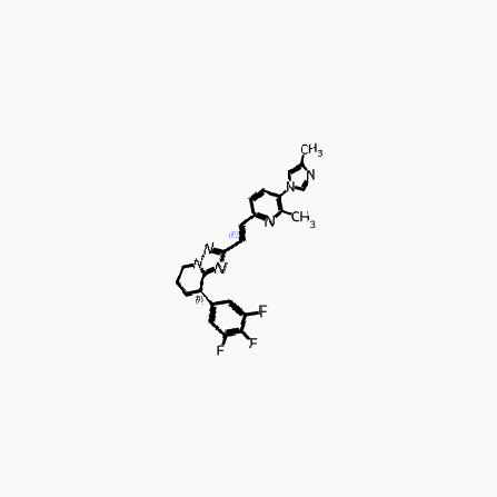 Cc1cn(-c2ccc(/C=C/c3nc4n(n3)CCC[C@@H]4c3cc(F)c(F)c(F)c3)nc2C)cn1